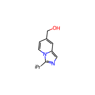 CC(C)c1ncc2cc(CO)ccn12